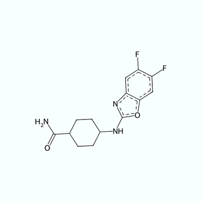 NC(=O)C1CCC(Nc2nc3cc(F)c(F)cc3o2)CC1